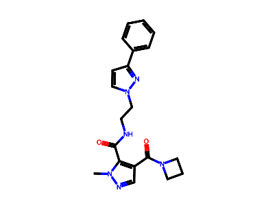 Cn1ncc(C(=O)N2CCC2)c1C(=O)NCCn1ccc(-c2ccccc2)n1